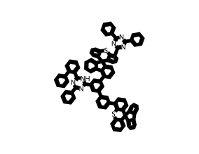 c1ccc(C2=NC(c3cc(-c4cccc(-c5cccc6c5Sc5ccccc5C65c6ccccc6-c6ccccc65)c4)cc(-c4cccc5c4-c4ccccc4C54c5ccccc5Sc5c(-c6nc(-c7ccccc7)nc(-c7ccccc7)n6)cccc54)c3)NC(c3ccccc3-c3ccccc3)=N2)cc1